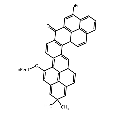 CCCCCOc1cc2c3c4c1=c1ccc5c(c1=CC4C=CC3=CC(C)(C)C=2)C1C=Cc2cccc3c(CCC)cc(c1c23)C5=O